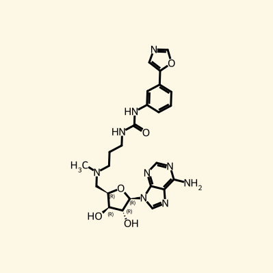 CN(CCCNC(=O)Nc1cccc(-c2cnco2)c1)C[C@H]1O[C@@H](n2cnc3c(N)ncnc32)[C@H](O)[C@H]1O